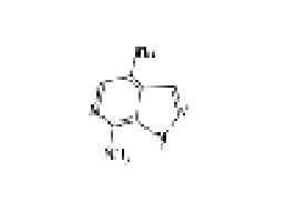 CCC(C)c1cnc(N)c2c1cnn2C